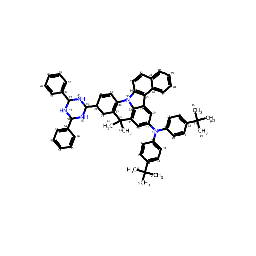 CC(C)(C)c1ccc(N(c2ccc(C(C)(C)C)cc2)c2cc3c4c(c2)c2c5ccccc5ccc2n4C2=C(CC(C4NC(c5ccccc5)NC(c5ccccc5)N4)C=C2)C3(C)C)cc1